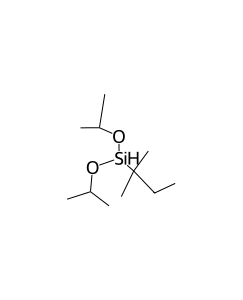 CCC(C)(C)[SiH](OC(C)C)OC(C)C